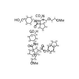 COCCOC[C@H](CC1(C(=O)N[C@H]2CC[C@@H](C(=O)O)CC2)CCCC1)C(=O)O.COCCOC[C@H](CC1(C(=O)N[C@H]2CC[C@@H](C(=O)O)CC2)CCCC1)C(=O)Oc1ccc2c(c1)CCC2